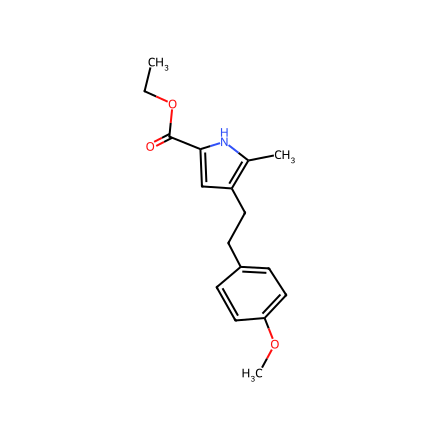 CCOC(=O)c1cc(CCc2ccc(OC)cc2)c(C)[nH]1